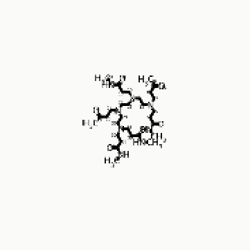 CNC(=O)CCN(CCC(C)=O)CCN(CCC(=O)NC)CCN(CCC(C)=O)CCN(CCC(=O)NC)CCC(=O)NC